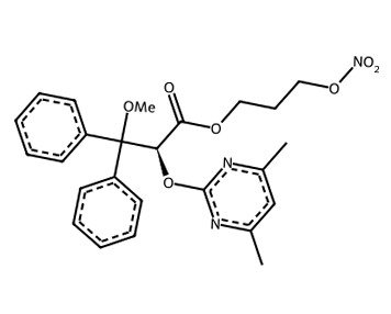 COC(c1ccccc1)(c1ccccc1)[C@H](Oc1nc(C)cc(C)n1)C(=O)OCCCO[N+](=O)[O-]